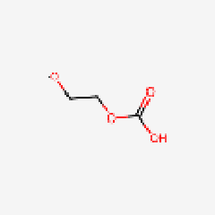 [O]CCOC(=O)O